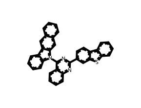 c1ccc2cc3c(cc2c1)c1ccccc1n3-c1nc(-c2ccc3c(c2)sc2ccccc23)nc2ccccc12